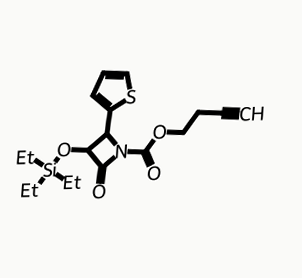 C#CCCOC(=O)N1C(=O)C(O[Si](CC)(CC)CC)C1c1cccs1